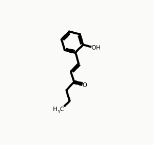 CCCC(=O)C=Cc1ccccc1O